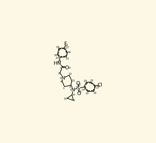 O=C(CN1CCC(N(C2CC2)S(=O)(=O)c2ccc(Cl)cc2)CC1)Nc1ccc(F)cc1